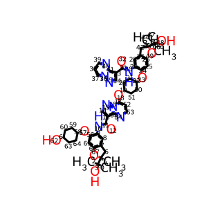 CC(C)(O)[C@@]1(C)Cc2cc(NC(=O)c3cnn4c(O[C@H]5CC[C@@H](Oc6cc7c(cc6NC(=O)c6cnn8cccnc68)C[C@@](C)(C(C)(C)O)O7)CC5)ccnc34)c(O[C@H]3CC[C@@H](O)CC3)cc2O1